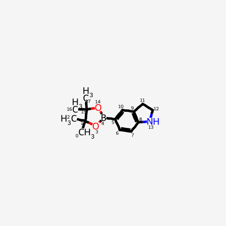 CC1(C)OB(c2ccc3c(c2)CCN3)OC1(C)C